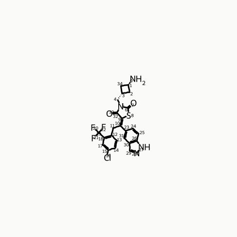 N[C@H]1C[C@H](CN2C(=O)S/C(=C(/Cc3ccc(Cl)cc3C(F)(F)F)c3ccc4[nH]ncc4c3)C2=O)C1